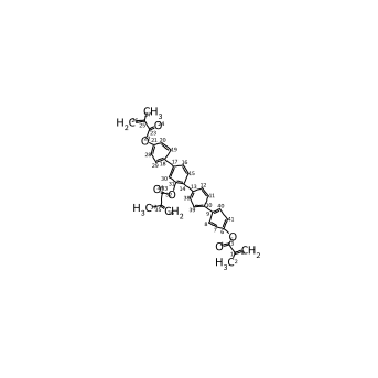 C=C(C)C(=O)Oc1ccc(-c2ccc(-c3ccc(-c4ccc(OC(=O)C(=C)C)cc4)cc3OC(=O)C(=C)C)cc2)cc1